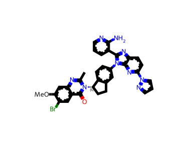 COc1cc2nc(C)n([C@H]3CCc4cc(-n5c(-c6cccnc6N)nc6ccc(-n7cccn7)nc65)ccc43)c(=O)c2cc1Br